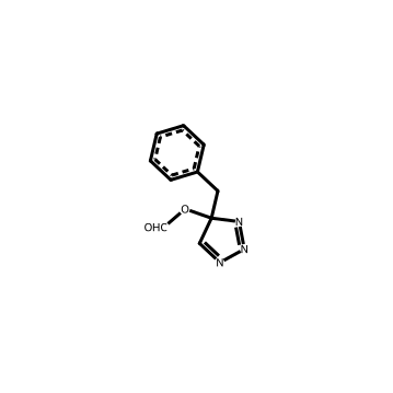 O=COC1(Cc2ccccc2)C=NN=N1